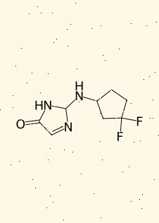 O=C1C=NC(NC2CCC(F)(F)C2)N1